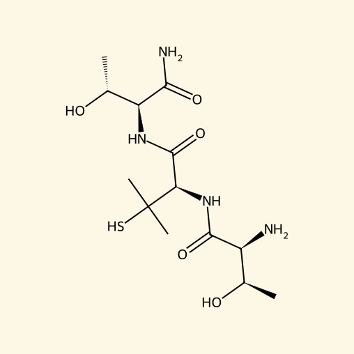 C[C@@H](O)[C@H](N)C(=O)N[C@H](C(=O)N[C@H](C(N)=O)[C@@H](C)O)C(C)(C)S